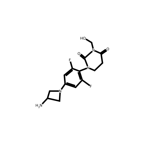 NC1CN(c2cc(F)c(N3CCC(=O)N(CO)C3=O)c(F)c2)C1